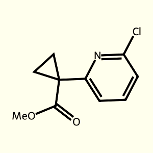 COC(=O)C1(c2cccc(Cl)n2)CC1